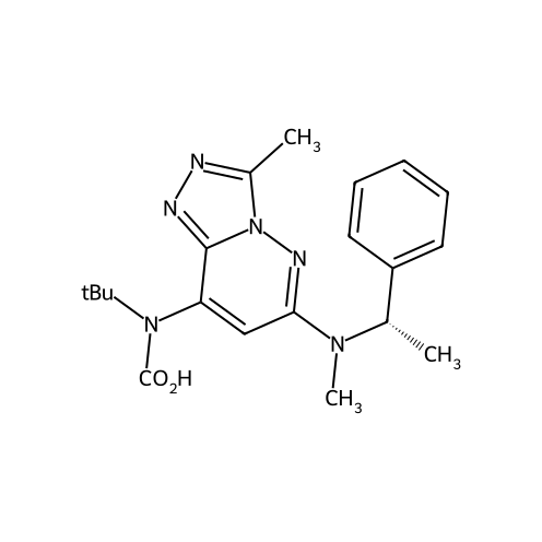 Cc1nnc2c(N(C(=O)O)C(C)(C)C)cc(N(C)[C@@H](C)c3ccccc3)nn12